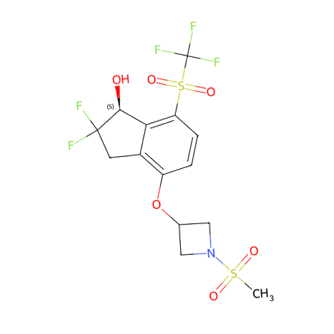 CS(=O)(=O)N1CC(Oc2ccc(S(=O)(=O)C(F)(F)F)c3c2CC(F)(F)[C@H]3O)C1